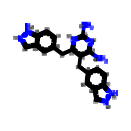 Nc1nc(N)c(Cc2ccc3[nH]ncc3c2)c(Cc2ccc3[nH]ncc3c2)n1